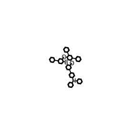 c1ccc(-c2ccc3c(c2)Oc2c(-c4ccccc4)cc(-c4ccccc4)c4c2B3c2ccc(-c3ccc(N(c5ccccc5)c5ccccc5)cc3)cc2O4)cc1